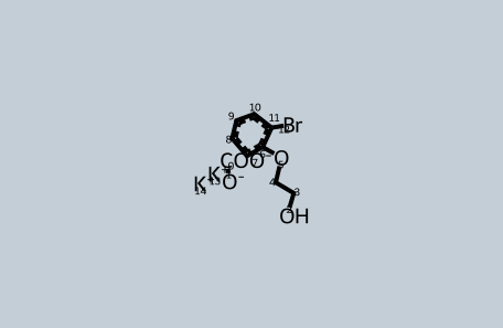 O=C([O-])[O-].OCCOc1ccccc1Br.[K+].[K+]